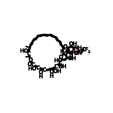 C[C@H]1C[C@H](O)[C@@H](C)/C=C/C=C/C=C/C=C/C=C/C=C/C=C/C(O[C@@H]2OC[C@@H](O)[C@H](N)[C@@H]2O)C[C@@H]2OC(O)(CC(O)CC(O)C(O)CCC(O)C[C@@H](O)CC(=O)O1)C[C@H](O)[C@H]2C(=O)NCCCOC(F)(F)F